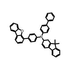 CC1(C)C2=C(C=CC(N(c3ccc(-c4ccccc4)cc3)c3ccc(-c4cccc5c4oc4ccccc45)cc3)C2)c2ccccc21